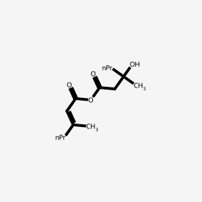 CCCC(C)=CC(=O)OC(=O)CC(C)(O)CCC